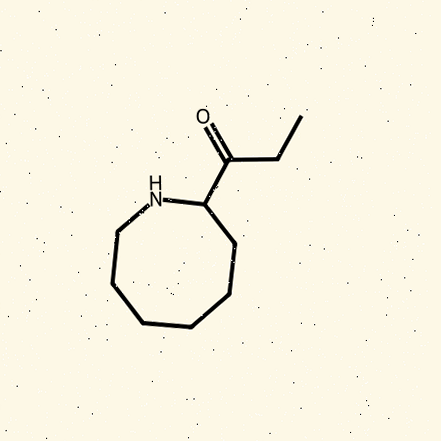 CCC(=O)C1CCCCCCN1